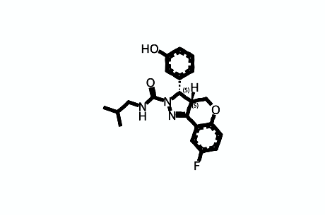 CC(C)CNC(=O)N1N=C2c3cc(F)ccc3OC[C@H]2[C@H]1c1cccc(O)c1